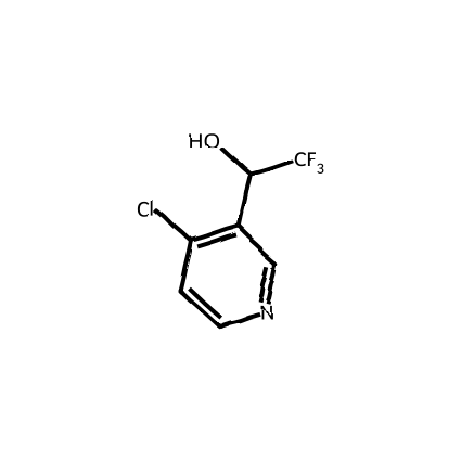 OC(c1cnccc1Cl)C(F)(F)F